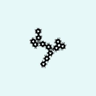 c1ccc(-c2ccc(-c3ccc4c(c3)c3cc(-c5ccc(N(c6ccc(-c7ccccc7)cc6)c6cccc7ccccc67)cc5)ccc3n4-c3ccc4c5ccccc5c5ccccc5c4c3)cc2)cc1